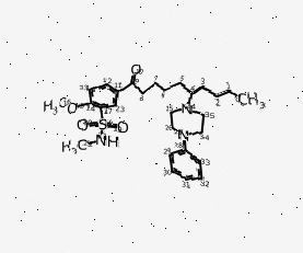 CCCCC(CCCCC(=O)c1ccc(OC)c(S(=O)(=O)NC)c1)N1CCN(c2ccccc2)CC1